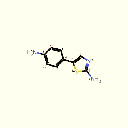 Nc1ccc(-c2cnc(N)s2)cc1